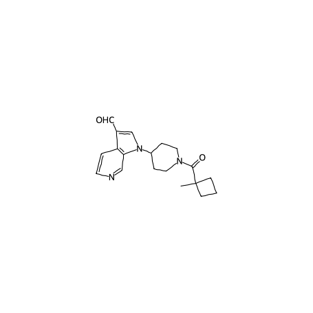 CC1(C(=O)N2CCC(n3cc(C=O)c4ccncc43)CC2)CCC1